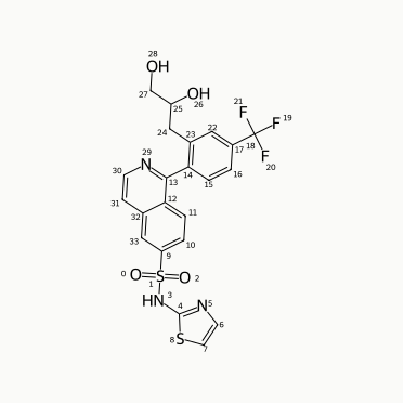 O=S(=O)(Nc1nccs1)c1ccc2c(-c3ccc(C(F)(F)F)cc3CC(O)CO)nccc2c1